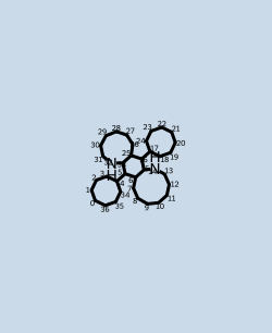 C1CCCC(C2C3CCCCCCCNC3C(C3CCCCCCC3)C3CCCCCCNC32)CCC1